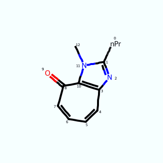 CCCc1nc2ccccc(=O)c2n1C